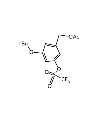 CCCCOc1cc(COC(C)=O)cc(OS(=O)(=O)C(F)(F)F)c1